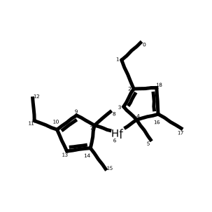 CCC1=C[C](C)([Hf][C]2(C)C=C(CC)C=C2C)C(C)=C1